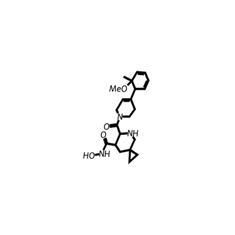 COC1(C)C=CC=CC1C1=CCN(C(=O)C2NCC3(CC3)CC2C(=O)NO)CC1